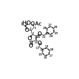 CC(=O)OCC(OC(C)O)C1OC(=O)C(OCc2ccccc2)=C1OCc1ccccc1